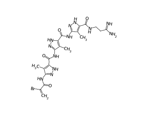 C=C(Br)C(=O)Nc1n[nH]c(C(=O)Nc2n[nH]c(C(=O)Nc3n[nH]c(C(=O)NCCC(=N)N)c3C)c2C)c1C